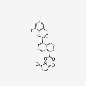 O=C(Oc1c(I)cc(I)cc1I)c1cccc2c(C(=O)ON3C(=O)CCC3=O)cccc12